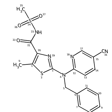 Cc1sc(N(Cc2ccccc2)c2ccc(C#N)cn2)nc1C(=O)NS(C)(=O)=O